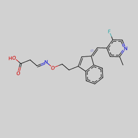 Cc1cc(/C=C2/C=C(CCON=CCC(=O)O)c3ccccc32)c(F)cn1